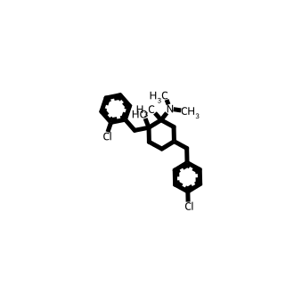 CN(C)C1(C)CC(Cc2ccc(Cl)cc2)CCC1(O)Cc1ccccc1Cl